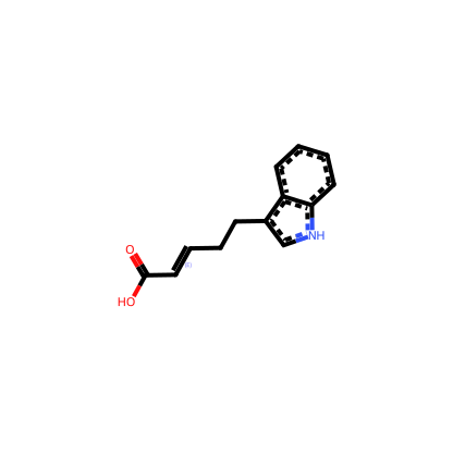 O=C(O)/C=C/CCc1c[nH]c2ccccc12